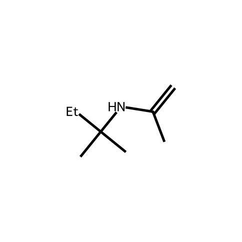 C=C(C)NC(C)(C)CC